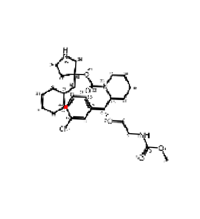 COC(=O)NCCO[C@H](c1cccc(Cl)c1)C1CCCCN1C(=O)OC1(CC2CCCCC2)CCNC1